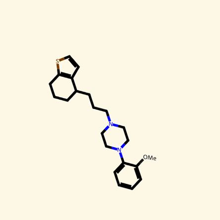 COc1ccccc1N1CCN(CCCC2CCCc3sccc32)CC1